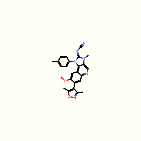 COc1cc2c(cc1-c1c(C)noc1C)ncc1c2n(-c2ccc(C)cc2)c(=NC#N)n1C